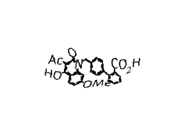 COc1ccc2c(O)c(C(C)=O)c(=O)n(Cc3ccc(-c4ccccc4C(=O)O)cc3)c2c1